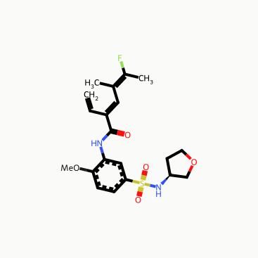 C=C/C(=C\C(C)=C(/C)F)C(=O)Nc1cc(S(=O)(=O)N[C@H]2CCOC2)ccc1OC